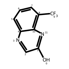 Oc1cnc2cccc(C(F)(F)F)c2n1